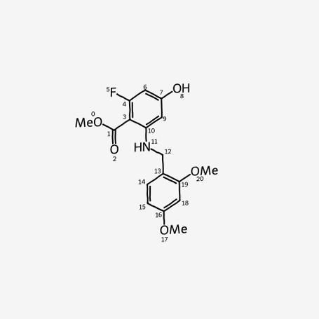 COC(=O)c1c(F)cc(O)cc1NCc1ccc(OC)cc1OC